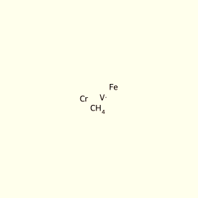 C.[Cr].[Fe].[V]